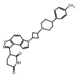 Cc1ccc(C2CCN(C3CC(n4ccc5c6c(C7CCC(=O)NC7=O)noc6ccc54)C3)CC2)cc1